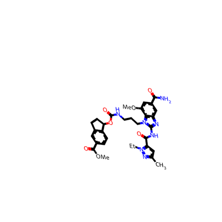 CCn1nc(C)cc1C(=O)Nc1nc2cc(C(N)=O)cc(OC)c2n1CCCNC(=O)OC1CCc2cc(C(=O)OC)ccc21